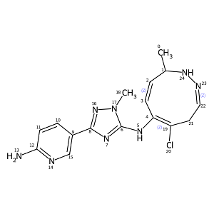 CC1/C=C\C(Nc2nc(-c3ccc(N)nc3)nn2C)=C(\Cl)C/C=N\N1